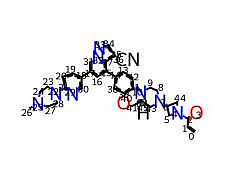 C=CC(=O)N1CC(N2CCN3c4ccc(-c5cc(-c6ccc(N7CCN(C)CC7)nc6)cn6ncc(C#N)c56)cc4OC[C@@H]3C2)C1